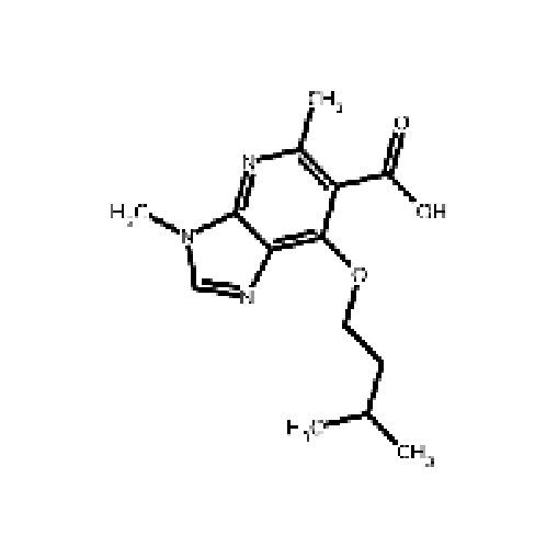 Cc1nc2c(ncn2C)c(OCCC(C)C)c1C(=O)O